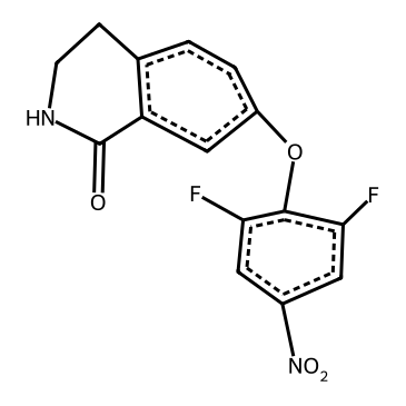 O=C1NCCc2ccc(Oc3c(F)cc([N+](=O)[O-])cc3F)cc21